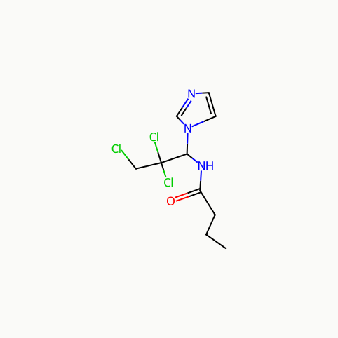 CCCC(=O)NC(n1ccnc1)C(Cl)(Cl)CCl